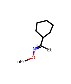 CCCO/N=C(\CC)C1CCCCC1